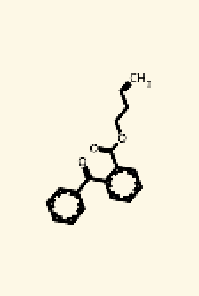 C=CCCOC(=O)c1ccccc1C(=O)c1ccccc1